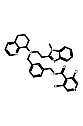 Cn1c(CCN(Cc2cccc(CNC(=O)c3c(Cl)cncc3Cl)c2)C2CCCc3cccnc32)nc2ccccc21